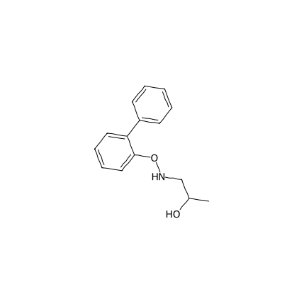 CC(O)CNOc1ccccc1-c1ccccc1